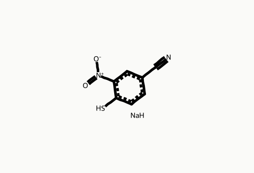 N#Cc1ccc(S)c([N+](=O)[O-])c1.[NaH]